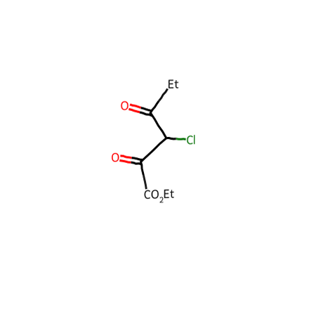 CCOC(=O)C(=O)C(Cl)C(=O)CC